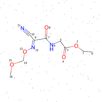 CCOC(=O)CNC(=O)C(C#N)=NOCOC